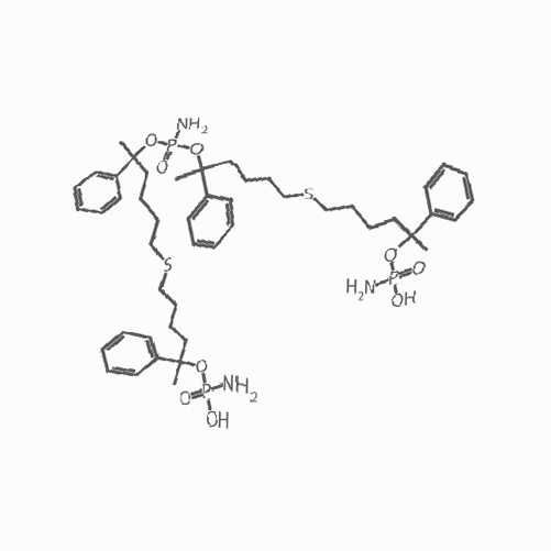 CC(CCCCSCCCCC(C)(OP(N)(=O)OC(C)(CCCCSCCCCC(C)(OP(N)(=O)O)c1ccccc1)c1ccccc1)c1ccccc1)(OP(N)(=O)O)c1ccccc1